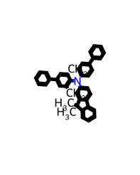 Cc1cc(-c2ccccc2)cc(C)c1N(c1ccc(-c2ccccc2)cc1)c1ccc2c(c1)C(C)(C)c1ccccc1-2